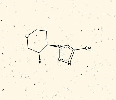 Cc1cn([C@@H]2CCOC[C@@H]2F)nn1